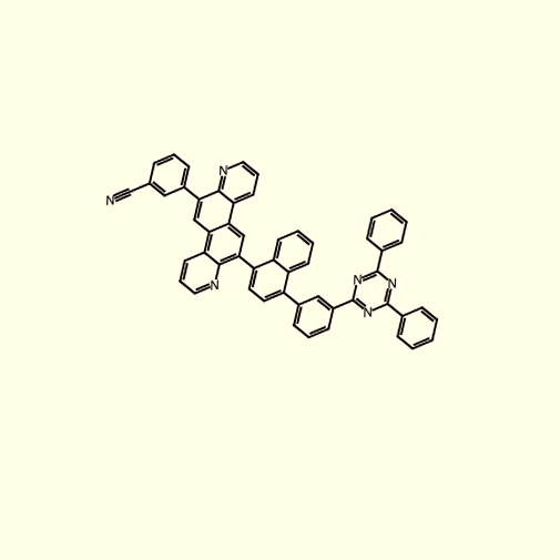 N#Cc1cccc(-c2cc3c4cccnc4c(-c4ccc(-c5cccc(-c6nc(-c7ccccc7)nc(-c7ccccc7)n6)c5)c5ccccc45)cc3c3cccnc23)c1